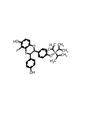 CC(C)[Si](Oc1ccc(C2Oc3ccc(O)c(F)c3SC2c2ccc(O)cc2)cc1)(C(C)C)C(C)C